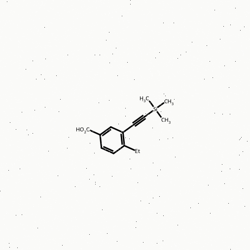 CCc1ccc(C(=O)O)cc1C#C[Si](C)(C)C